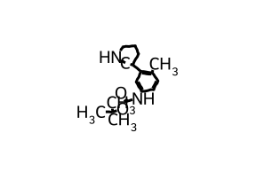 Cc1ccc(NC(=O)OC(C)(C)C)cc1C1CCCNC1